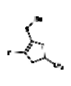 CCC(C)SC1=C(Cl)CC(C)=C1